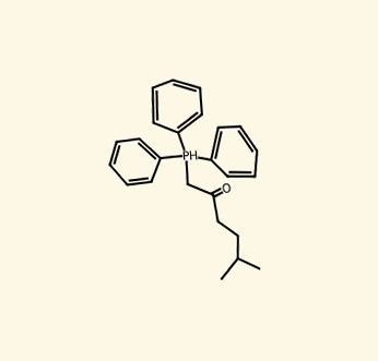 CC(C)CCC(=O)C[PH](c1ccccc1)(c1ccccc1)c1ccccc1